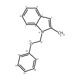 Cc1cc2ccccc2n1COc1cc[c]cc1